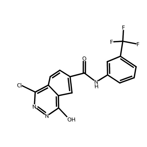 O=C(Nc1cccc(C(F)(F)F)c1)c1ccc2c(Cl)nnc(O)c2c1